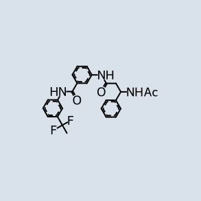 CC(=O)NC(CC(=O)Nc1cccc(C(=O)Nc2cccc(C(C)(F)F)c2)c1)c1ccccc1